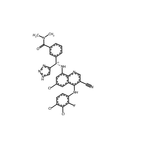 CN(C)C(=O)c1cccc([C@H](Nc2cc(Cl)cc3c(Nc4ccc(Cl)c(Cl)c4F)c(C#N)cnc23)c2c[nH]nn2)c1